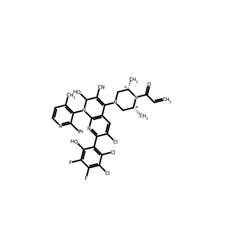 C=CC(=O)N1[C@H](C)CN(C2=C(C#N)C(O)N(c3c(C)ccnc3C(C)C)c3nc(-c4c(O)c(F)c(F)c(Cl)c4Cl)c(Cl)cc32)C[C@@H]1C